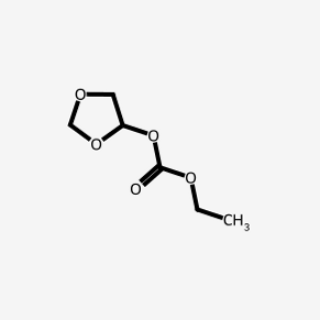 CCOC(=O)OC1COCO1